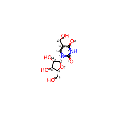 O=c1[nH]c(=O)n([C@@H]2O[C@H](CO)[C@@H](O)[C@@H]2O)cc1CO